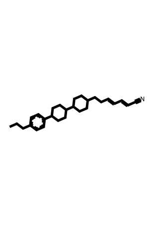 CCCc1ccc(C2CCC(C3CCC(CCC=CC=CC#N)CC3)CC2)cc1